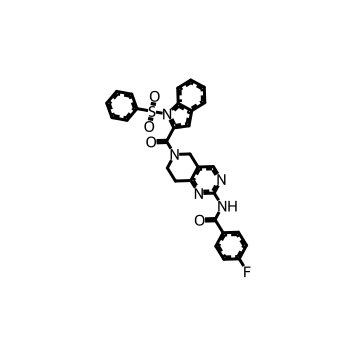 O=C(Nc1ncc2c(n1)CCN(C(=O)c1cc3ccccc3n1S(=O)(=O)c1ccccc1)C2)c1ccc(F)cc1